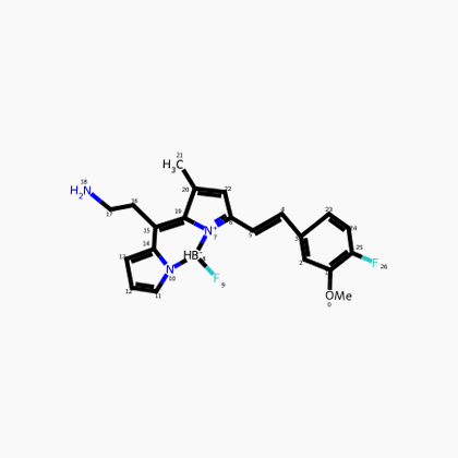 COc1cc(/C=C/C2=[N+]3[BH-](F)n4cccc4C(CCN)=C3C(C)=C2)ccc1F